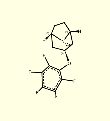 CC(=O)N1[C@@H]2CC[C@H]1C[C@H](Oc1c(F)c(F)c(F)c(F)c1F)C2